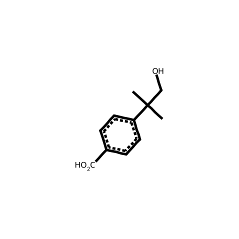 CC(C)(CO)c1ccc(C(=O)O)cc1